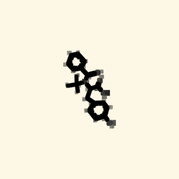 CC(C)(C)N(C(=O)c1ccccc1)C(Cc1ccc(O)cc1)C(=O)O